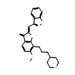 COc1ccc2c(c1CCCC1CCNCC1)OC(=Cc1n[nH]c3ccccc13)C2=O